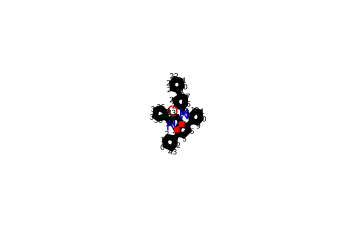 c1ccc(-c2ccc(-c3ccccc3N(c3ccc(-c4ccccc4)cc3)c3ccnc4c3oc3ccccc34)cc2)cc1